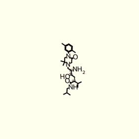 Cc1ccc(C)c(N2CC(C)(C)N(C[C@H](N)[C@@H](O)C[C@H](C(=O)NCC(C)C)C(C)C)CC2=O)c1